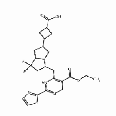 CCOC(=O)C1=C(CN2CC(F)(F)C3CN(C4CC(C(=O)O)C4)CC32)NC(c2nccs2)=NC1